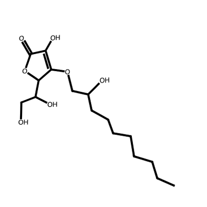 CCCCCCCCC(O)COC1=C(O)C(=O)OC1C(O)CO